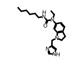 CCCCCCNC(=O)N(CC)c1ccc2c(c1)N(Cc1c[nH]cn1)CC2